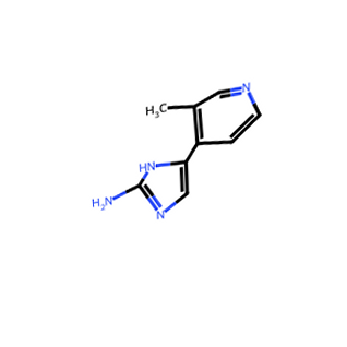 Cc1cnccc1-c1cnc(N)[nH]1